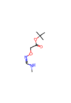 CN/C=N\OCC(=O)OC(C)(C)C